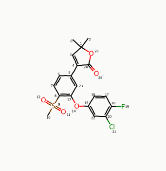 CC1(C)C=C(c2ccc(S(C)(=O)=O)c(Oc3ccc(F)c(Cl)c3)c2)C(=O)O1